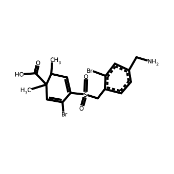 CC1C=C(S(=O)(=O)Cc2ccc(CN)cc2Br)C(Br)=CC1(C)C(=O)O